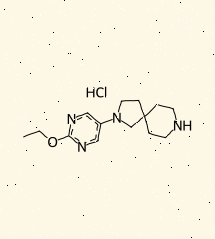 CCOc1ncc(N2CCC3(CCNCC3)C2)cn1.Cl